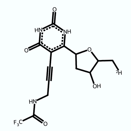 [2H]CC1OC(c2[nH]c(=O)[nH]c(=O)c2C#CCNC(=O)C(F)(F)F)CC1O